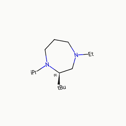 CCN1CCCN(C(C)C)[C@H](C(C)(C)C)C1